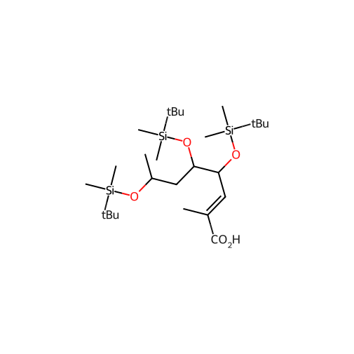 CC(=CC(O[Si](C)(C)C(C)(C)C)C(CC(C)O[Si](C)(C)C(C)(C)C)O[Si](C)(C)C(C)(C)C)C(=O)O